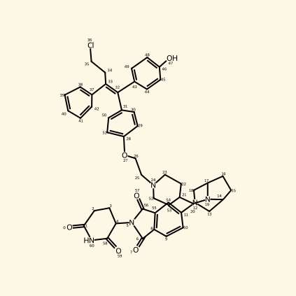 O=C1CCC(N2C(=O)c3ccc(N4CC5CCC(C4)N5CC4CCN(CCOc5ccc(C(=C(CCCl)c6ccccc6)c6ccc(O)cc6)cc5)CC4)cc3C2=O)C(=O)N1